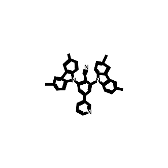 Cc1ccc2c(c1)c1cc(C)ccc1n2-c1cc(-c2cccnc2)cc(-n2c3ccc(C)cc3c3cc(C)ccc32)c1C#N